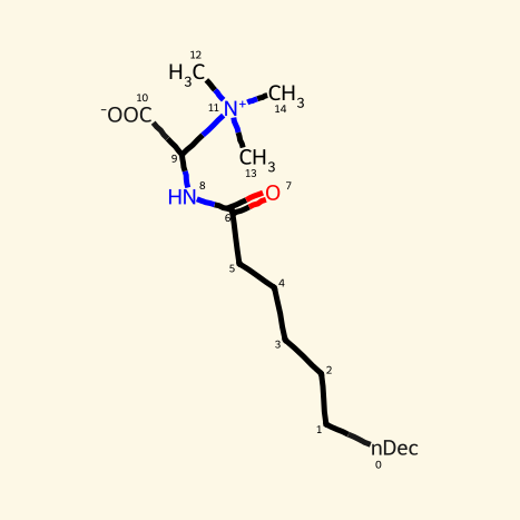 CCCCCCCCCCCCCCCC(=O)NC(C(=O)[O-])[N+](C)(C)C